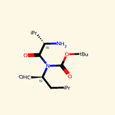 CC(C)C[C@@H]([C]=O)N(C(=O)OC(C)(C)C)C(=O)[C@@H](N)C(C)C